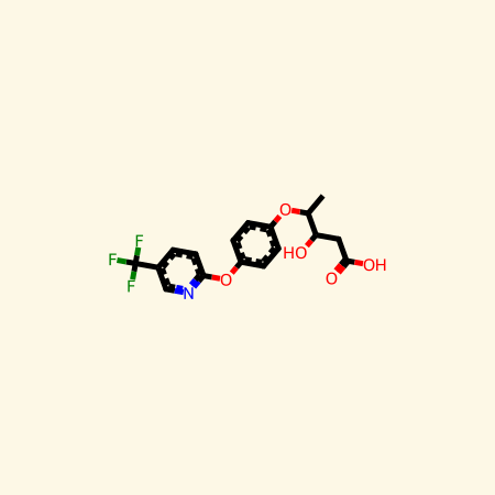 CC(Oc1ccc(Oc2ccc(C(F)(F)F)cn2)cc1)C(O)CC(=O)O